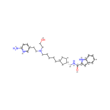 Nc1ccc(CCN(CCO)CCCCCC2CC[C@H](CNC(=O)c3cc4ccccc4[nH]3)C2)cn1